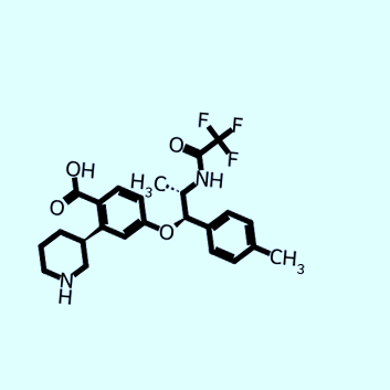 Cc1ccc([C@@H](Oc2ccc(C(=O)O)c([C@@H]3CCCNC3)c2)[C@H](C)NC(=O)C(F)(F)F)cc1